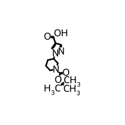 CC(C)(C)OC(=O)N1CCCC(n2cc(C(=O)O)cn2)C1